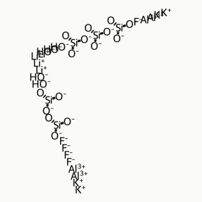 O=[Si]([O-])[O-].O=[Si]([O-])[O-].O=[Si]([O-])[O-].O=[Si]([O-])[O-].O=[Si]([O-])[O-].[Al+3].[Al+3].[Al+3].[Al+3].[F-].[F-].[F-].[F-].[F-].[K+].[K+].[K+].[K+].[Li+].[Li+].[Li+].[Li+].[OH-].[OH-].[OH-].[OH-].[OH-]